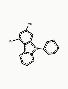 CC(C)c1cc(O)cc2c1c1ccccc1n2-c1ccccc1